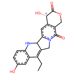 CCC1=C2Cn3c(cc4c(c3=O)COC(=O)[C@H]4O)C2Nc2ccc(O)cc21